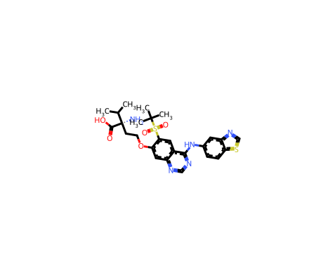 CC(C)[C@@](N)(CCOc1cc2ncnc(Nc3ccc4scnc4c3)c2cc1S(=O)(=O)C(C)(C)C)C(=O)O